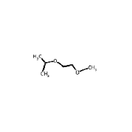 COCCO[C](C)C